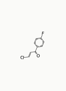 O=C(C=CCl)c1ccc(F)cc1